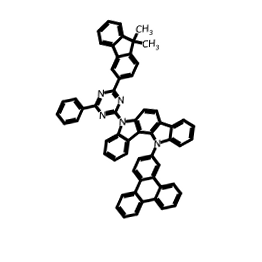 CC1(C)c2ccccc2-c2cc(-c3nc(-c4ccccc4)nc(-n4c5ccccc5c5c4ccc4c6ccccc6n(-c6ccc7c8ccccc8c8ccccc8c7c6)c45)n3)ccc21